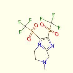 CN1CCn2c(nc(S(=O)(=O)C(F)(F)F)c2S(=O)(=O)C(F)(F)F)C1